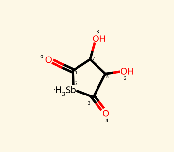 O=[C]1[SbH2][C](=O)C(O)C1O